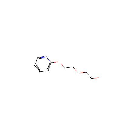 OCCOCCOc1ccccn1